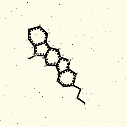 CCCc1ccc2c(c1)oc1cc3c4ccccc4n(C)c3cc12